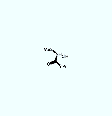 CCCC(=O)NSC.Cl